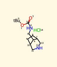 CC(C)(C)OC(=O)NCC1C2CCC1CNC2.Cl